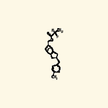 Cc1ccc(CC2CC3C4CC(COC(=O)C(C)(F)F)C(C4)C3C2)cc1